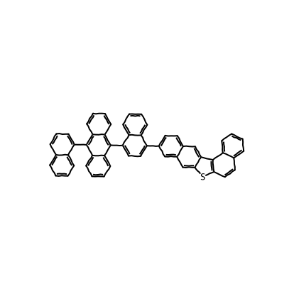 c1ccc2c(-c3c4ccccc4c(-c4ccc(-c5ccc6cc7c(cc6c5)sc5ccc6ccccc6c57)c5ccccc45)c4ccccc34)cccc2c1